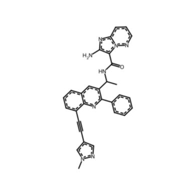 CC(NC(=O)c1c(N)nc2cccnn12)c1cc2cccc(C#Cc3cnn(C)c3)c2nc1-c1ccccc1